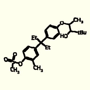 CCC(CC)(c1ccc(OC(C)C(O)C(C)(C)C)cc1)c1ccc(OS(C)(=O)=O)c(C)c1